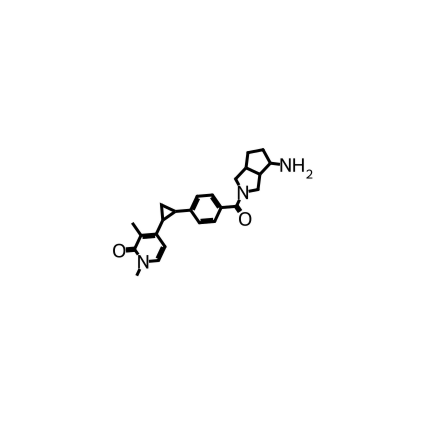 Cc1c(C2CC2c2ccc(C(=O)N3CC4CCC(N)C4C3)cc2)ccn(C)c1=O